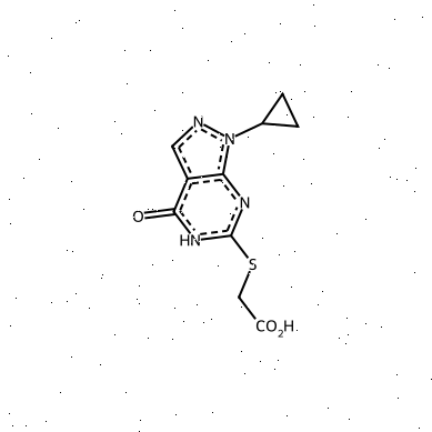 O=C(O)CSc1nc2c(cnn2C2CC2)c(=O)[nH]1